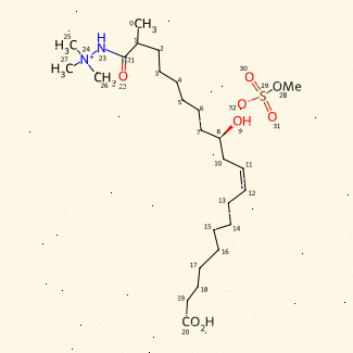 CC(CCCCCC[C@@H](O)C/C=C\CCCCCCCC(=O)O)C(=O)N[N+](C)(C)C.COS(=O)(=O)[O-]